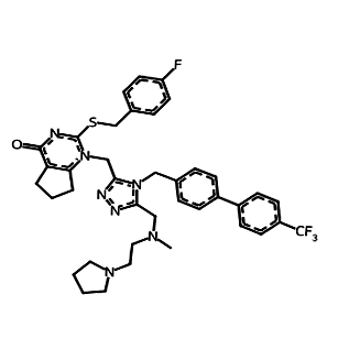 CN(CCN1CCCC1)Cc1nnc(Cn2c(SCc3ccc(F)cc3)nc(=O)c3c2CCC3)n1Cc1ccc(-c2ccc(C(F)(F)F)cc2)cc1